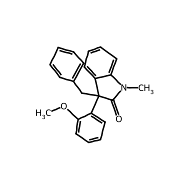 COc1ccccc1C1(Cc2ccccc2)C(=O)N(C)c2ccccc21